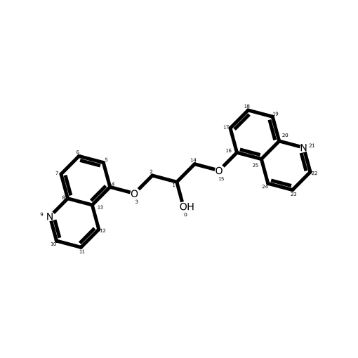 OC(COc1cccc2ncccc12)COc1cccc2ncccc12